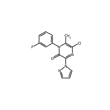 Cc1c(Cl)nc(-n2cccn2)c(=O)n1-c1cccc(F)c1